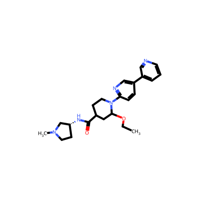 CCOC1CC(C(=O)N[C@@H]2CCN(C)C2)CCN1c1ccc(-c2cccnc2)cn1